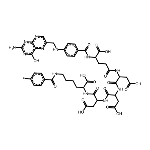 Nc1nc(O)c2nc(CNc3ccc(C(=O)NC(CCC(=O)NC(CC(=O)O)C(=O)NC(CC(=O)O)C(=O)NC(CC(=O)O)C(=O)NC(CCCCNC(=O)c4ccc(F)cc4)C(=O)O)C(=O)O)cc3)cnc2n1